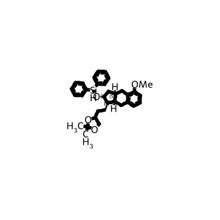 COc1cccc2c1C[C@H]1C[C@@H](O[SiH](c3ccccc3)c3ccccc3)[C@H](CCC3COC(C)(C)O3)[C@H]1C2